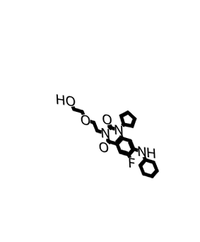 O=c1c2cc(F)c(NC3CCCCC3)cc2n(C2CCCC2)c(=O)n1CCOCCO